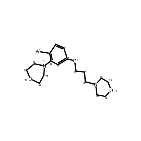 CC(C)c1ccc(OCCCN2CCOCC2)cc1N1CCOCC1